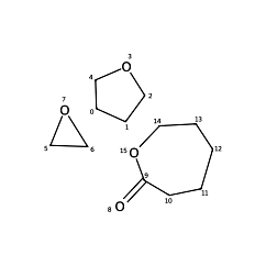 C1CCOC1.C1CO1.O=C1CCCCCO1